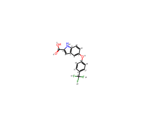 O=C(O)c1cc2cc(Oc3ccc(C(F)(F)F)cc3)ccc2[nH]1